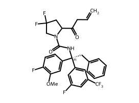 C=CCC(=O)C1CC(F)(F)CN1C(=O)N[C@@](Cc1ccccc1)(c1cc(F)cc(C(F)(F)F)c1)c1ccc(F)c(OC)c1